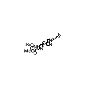 COC(=O)[C@H](Cc1ccc(Oc2ccnc3c2ccn3COCCS(C)(C)C)cn1)NC(=O)OC(C)(C)C